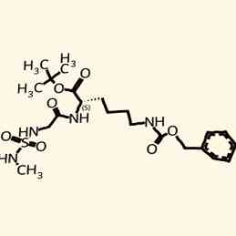 CNS(=O)(=O)NCC(=O)N[C@@H](CCCCNC(=O)OCc1ccccc1)C(=O)OC(C)(C)C